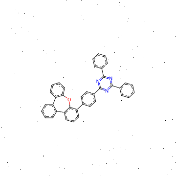 c1ccc(-c2nc(-c3ccccc3)nc(-c3ccc(-c4cccc5c4Oc4ccccc4-c4ccccc4-5)cc3)n2)cc1